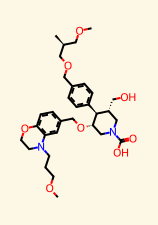 COCCCN1CCOc2ccc(CO[C@H]3CN(C(=O)O)C[C@@H](CO)[C@@H]3c3ccc(COC[C@@H](C)COC)cc3)cc21